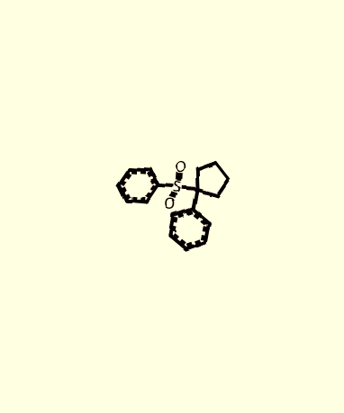 O=S(=O)(c1ccccc1)C1(c2ccccc2)CCCC1